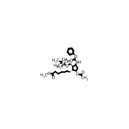 COC(=O)CCCCCC[C@H]1[C@@H](OC(C)=O)CC(NC(=O)Oc2ccccc2)[C@@H]1CO[Si](C)(C)C(C)(C)C